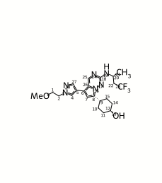 COCCn1cc(-c2cc([C@H]3CC[C@H](O)CC3)n3nc(N[C@@H](C)CC(F)(F)F)ncc23)cn1